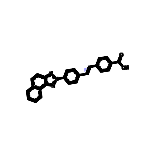 O=C(O)c1ccc(/C=C/c2ccc(-n3nc4ccc5ccccc5c4n3)cc2)cc1